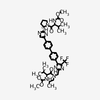 CCCN(Cc1nc(C(F)(F)F)c(-c2ccc(-c3ccc(-c4cnc([C@@H]5CCCN5C(=O)C(NC(=O)OC)C(C)C)[nH]4)cc3)cc2)[nH]1)C(=O)C(NC(=O)OC)C(C)C